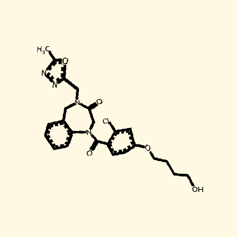 Cc1nnc(CN2Cc3ccccc3N(C(=O)c3ccc(OCCCCO)cc3Cl)CC2=O)o1